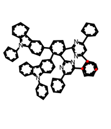 c1ccc(-c2cc(-c3ccccc3)nc(-c3ccc(-c4ccc5c(c4)c4ccccc4n5-c4ccccc4)c(-c4ccc5c(c4)c4ccccc4n5-c4ccccc4)c3-c3nc(-c4ccccc4)cc(-c4ccccc4)n3)n2)cc1